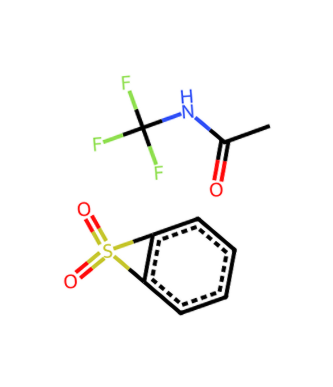 CC(=O)NC(F)(F)F.O=S1(=O)c2ccccc21